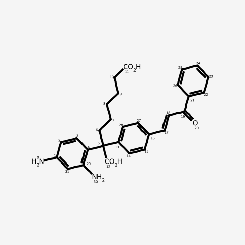 Nc1ccc(C(CCCCCC(=O)O)(C(=O)O)c2ccc(/C=C/C(=O)c3ccccc3)cc2)c(N)c1